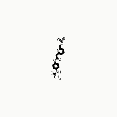 CC(=O)Nc1ccc(OC(=O)Cc2cccc(CO[N+](=O)[O-])n2)cc1